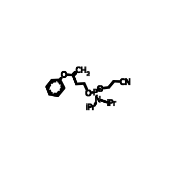 C=C(CCOP(OCCC#N)N(C(C)C)C(C)C)Oc1ccccc1